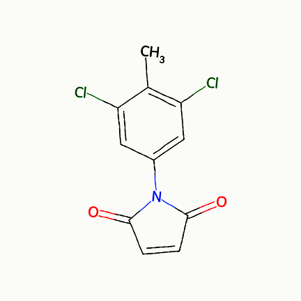 Cc1c(Cl)cc(N2C(=O)C=CC2=O)cc1Cl